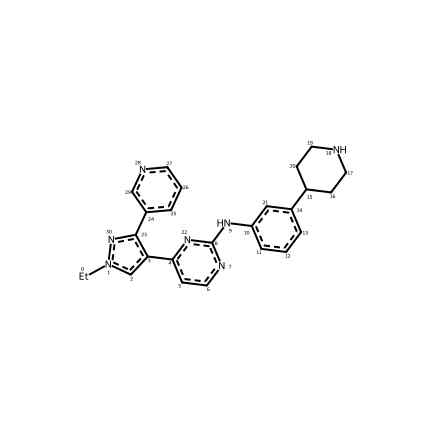 CCn1cc(-c2ccnc(Nc3cccc(C4CCNCC4)c3)n2)c(-c2cccnc2)n1